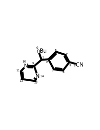 CCCCC(c1ccc(C#N)cc1)c1ncccn1